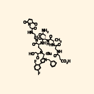 C[C@H](NC(=O)CNC(=O)CCC(=O)O)C(=O)N[C@@H](CC(N)=O)C(=O)N[C@@H](CCN(C(=O)CO)[C@@H](c1cc(-c2cc(F)ccc2F)cn1Cc1ccccc1)C(C)(C)C)C(=O)NCCNC(=O)CN1C(=O)C=CC1=O